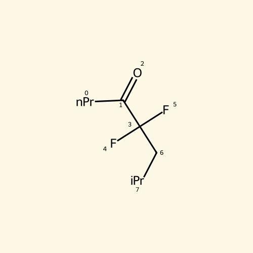 CCCC(=O)C(F)(F)CC(C)C